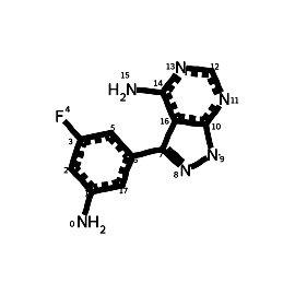 Nc1cc(F)cc(C2=N[N]c3ncnc(N)c32)c1